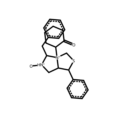 O=C1CCCCC1[N+]12CSC(c3ccccc3)C1C[NH+]([O-])C2Cc1ccccc1